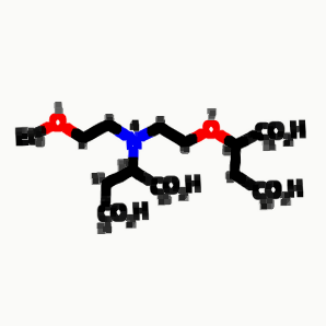 CCOCCN(CCOC(CC(=O)O)C(=O)O)C(CC(=O)O)C(=O)O